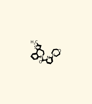 Cc1cc2c(s1)-c1ccccc1N(C(=O)c1cccc(N3CCCOCC3)n1)CC2